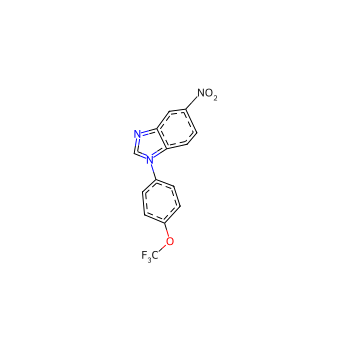 O=[N+]([O-])c1ccc2c(c1)ncn2-c1ccc(OC(F)(F)F)cc1